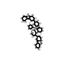 c1ccc([Si](c2ccccc2)(c2cccc(-c3ccc4sc5ccccc5c4c3)c2)c2cccc(-c3ccc4sc5ccccc5c4c3)c2)cc1